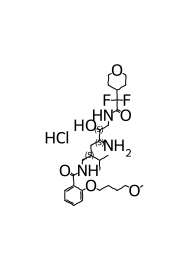 COCCCCOc1ccccc1C(=O)NC[C@@H](C[C@H](N)[C@@H](O)CNC(=O)C(F)(F)C1CCOCC1)C(C)C.Cl